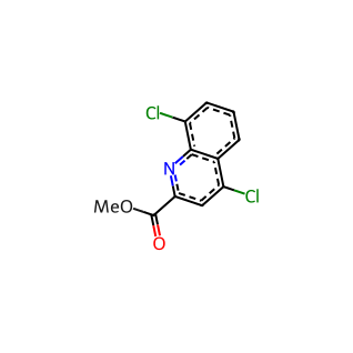 COC(=O)c1cc(Cl)c2cccc(Cl)c2n1